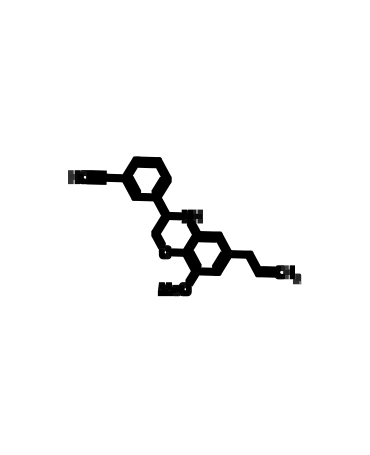 C#Cc1cccc(C2COc3c(cc(CC=C)cc3OC)N2)c1